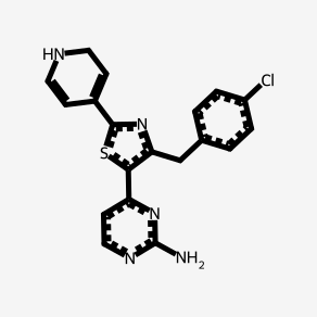 Nc1nccc(-c2sc(C3=CCNC=C3)nc2Cc2ccc(Cl)cc2)n1